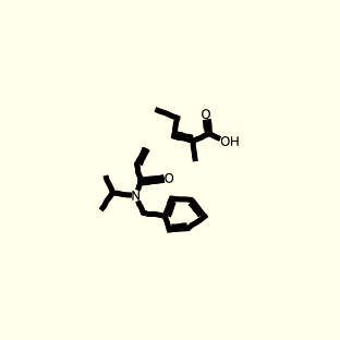 C=CC(=O)N(Cc1ccccc1)C(C)C.CCC=C(C)C(=O)O